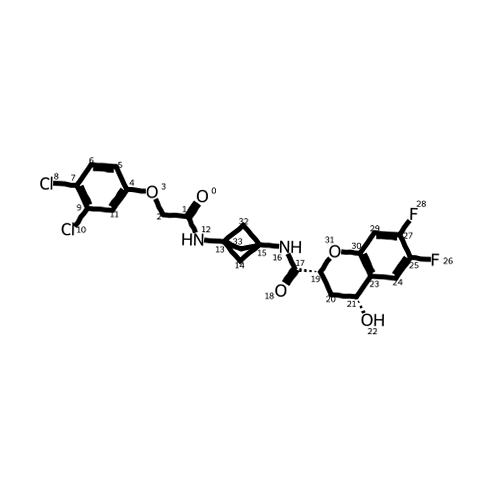 O=C(COc1ccc(Cl)c(Cl)c1)NC12CC(NC(=O)[C@H]3C[C@@H](O)c4cc(F)c(F)cc4O3)(C1)C2